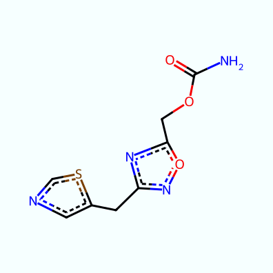 NC(=O)OCc1nc(Cc2cncs2)no1